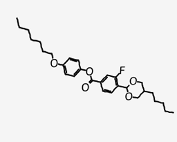 CCCCCCCOc1ccc(OC(=O)c2ccc(C3OCC(CCCCC)CO3)c(F)c2)cc1